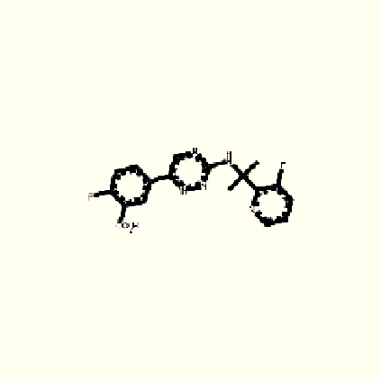 CC(C)(Nc1ncc(-c2ccc(F)c(C(=O)O)c2)nn1)c1ncccc1F